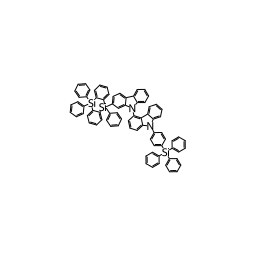 c1ccc([Si](c2ccccc2)(c2ccccc2)c2ccc(-n3c4ccccc4c4c(-n5c6ccccc6c6ccc([Si]7(c8ccccc8)c8ccccc8[Si](c8ccccc8)(c8ccccc8)c8ccccc87)cc65)cccc43)cc2)cc1